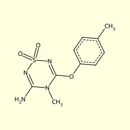 Cc1ccc(OC2=NS(=O)(=O)N=C(N)N2C)cc1